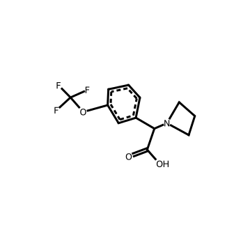 O=C(O)C(c1cccc(OC(F)(F)F)c1)N1CCC1